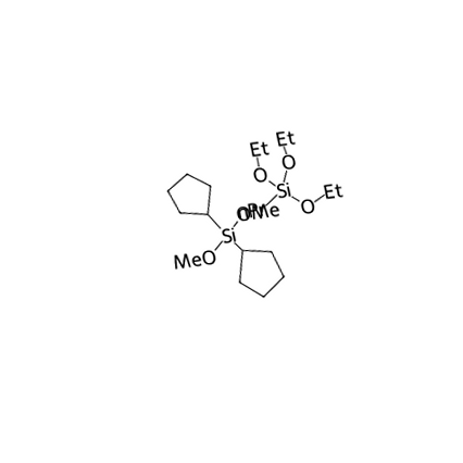 CCC[Si](OCC)(OCC)OCC.CO[Si](OC)(C1CCCC1)C1CCCC1